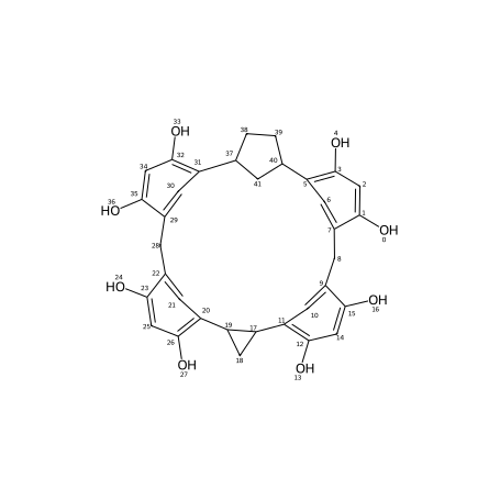 Oc1cc(O)c2cc1Cc1cc(c(O)cc1O)C1CC1c1cc(c(O)cc1O)Cc1cc(c(O)cc1O)C1CCC2C1